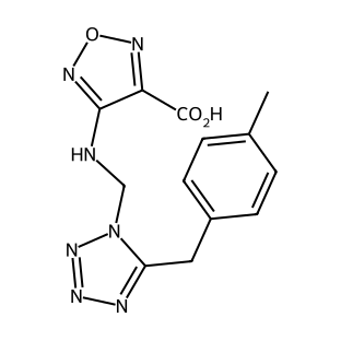 Cc1ccc(Cc2nnnn2CNc2nonc2C(=O)O)cc1